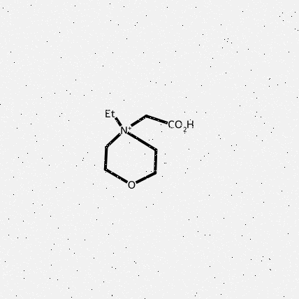 CC[N+]1(CC(=O)O)CCOCC1